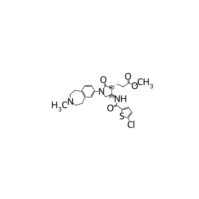 COC(=O)CC[C@H]1C(=O)N(c2ccc3c(c2)CCN(C)CC3)C[C@@H]1NC(=O)c1ccc(Cl)s1